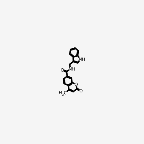 Cc1cc(=O)oc2cc(C(=O)NCc3c[nH]c4ccccc34)ccc12